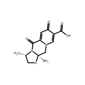 C[C@H]1CO[C@]2(N)Cn3cc(C(=O)O)c(=O)cc3C(=O)N12